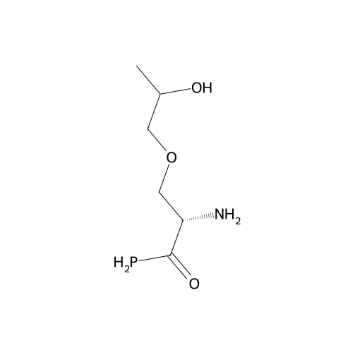 CC(O)COC[C@H](N)C(=O)P